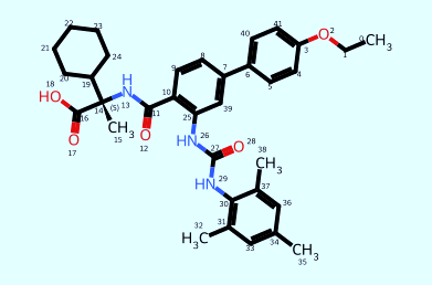 CCOc1ccc(-c2ccc(C(=O)N[C@](C)(C(=O)O)C3CCCCC3)c(NC(=O)Nc3c(C)cc(C)cc3C)c2)cc1